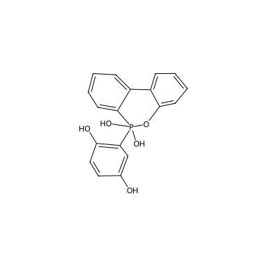 Oc1ccc(O)c(P2(O)(O)Oc3ccccc3-c3ccccc32)c1